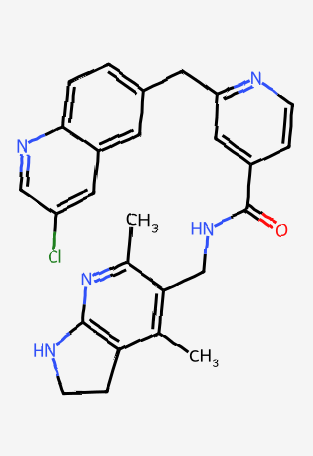 Cc1nc2c(c(C)c1CNC(=O)c1ccnc(Cc3ccc4ncc(Cl)cc4c3)c1)CCN2